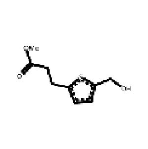 COC(=O)CCc1ccc(CO)s1